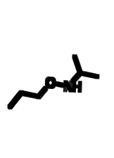 CCCONC(C)C